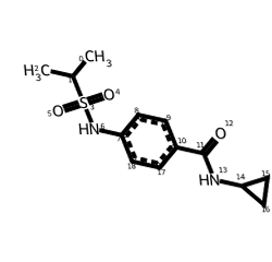 CC(C)S(=O)(=O)Nc1ccc(C(=O)NC2CC2)cc1